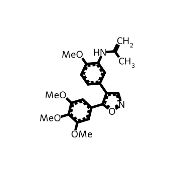 C=C(C)Nc1cc(-c2cnoc2-c2cc(OC)c(OC)c(OC)c2)ccc1OC